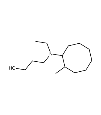 CCN(CCCO)C1CCCCCCC1C